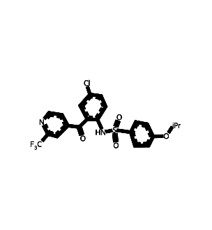 CC(C)Oc1ccc(S(=O)(=O)Nc2ccc(Cl)cc2C(=O)c2ccnc(C(F)(F)F)c2)cc1